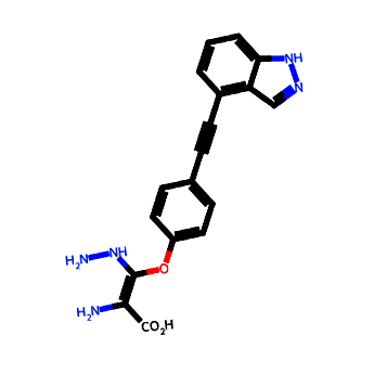 NN/C(Oc1ccc(C#Cc2cccc3[nH]ncc23)cc1)=C(\N)C(=O)O